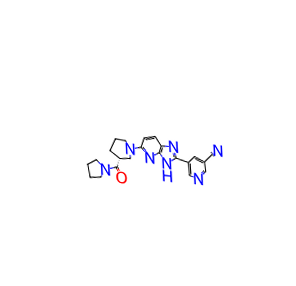 N#Cc1cncc(-c2nc3ccc(N4CCC[C@@H](C(=O)N5CCCC5)C4)nc3[nH]2)c1